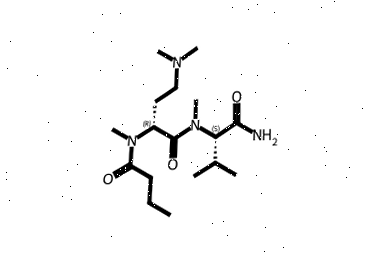 CCCC(=O)N(C)[C@H](CCN(C)C)C(=O)N(C)[C@H](C(N)=O)C(C)C